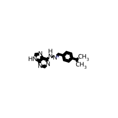 CC(C)c1ccc(/C=N/Nc2ncnc3[nH]cnc23)cc1